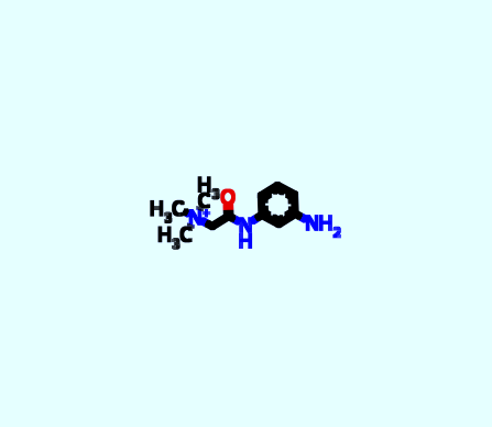 C[N+](C)(C)CC(=O)Nc1cccc(N)c1